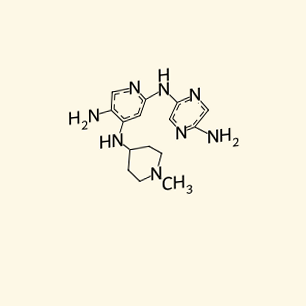 CN1CCC(Nc2cc(Nc3cnc(N)cn3)ncc2N)CC1